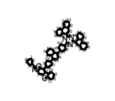 c1ccc(-c2nc3cc4oc5ccccc5c4c(-c4ccc(-c5ccc(-c6ccc(-c7nc(-c8cc9ccccc9c9ccccc89)nc(-c8cc9ccccc9c9ccccc89)n7)cc6)c6ccccc56)cc4)c3o2)cc1